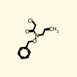 C=CCN(OCc1ccccc1)C(=O)CCl